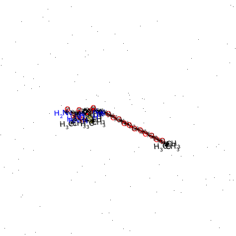 CC(C)C[C@H](NC(=O)CON=C(CSC(C)(C)C)CSC(C)(C)C)C(=O)N[C@@H](CCCNC(N)=O)C(=O)Nc1ccc(COC(=O)NCc2cn(CCOCCOCCOCCOCCOCCOCCOCCOCCOCCOCCOCCC(C)(C)C)nn2)cc1